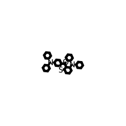 O=c1c2ccc(N(c3ccccc3)c3ccccc3)cc2sc2cccc(N(c3ccccc3)c3ccccc3)c12